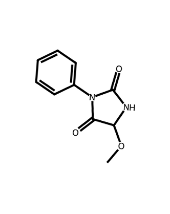 COC1NC(=O)N(c2ccccc2)C1=O